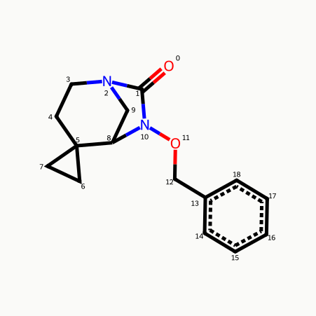 O=C1N2CCC3(CC3)C(C2)N1OCc1ccccc1